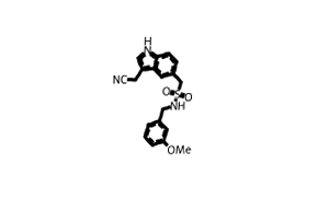 COc1cccc(CNS(=O)(=O)Cc2ccc3[nH]cc(CC#N)c3c2)c1